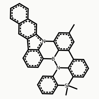 Cc1cc2c3c(c1)-n1c4cc5ccccc5cc4c4cccc(c41)B3N1c3ccccc3[Si](C)(C)c3cccc-2c31